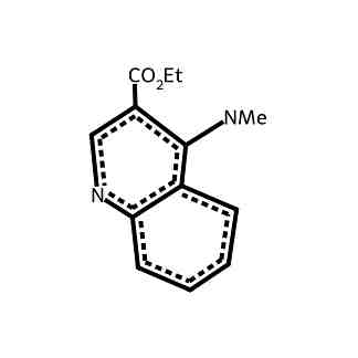 CCOC(=O)c1cnc2ccccc2c1NC